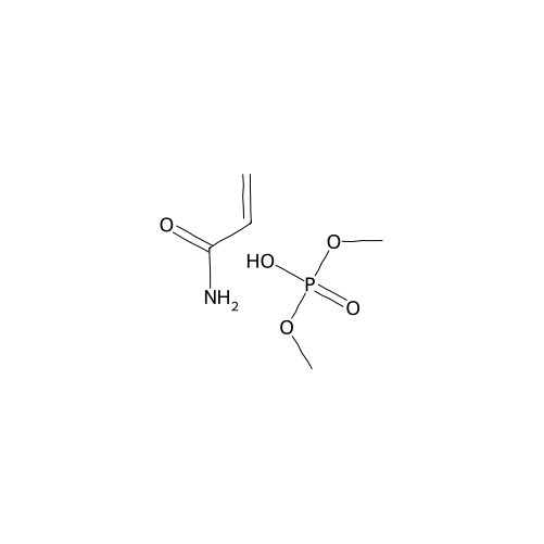 C=CC(N)=O.COP(=O)(O)OC